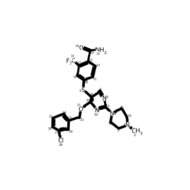 CN1CCN(c2ncc(Sc3ccc(C(N)=O)c(C(F)(F)F)c3)c(OCc3cccc(Cl)c3)n2)CC1